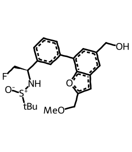 COCc1cc2cc(CO)cc(-c3cccc([C@H](CF)N[S+]([O-])C(C)(C)C)c3)c2o1